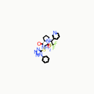 NC(=O)[C@@H]1CCC[N+]1(C(=O)CSc1nnnn1-c1ccccc1)C(c1cccnc1)C(F)(F)F